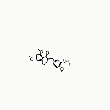 COc1cc(OC)c2c(c1)OC/C(=C\c1ccc(OC)c(N)c1)C2=O